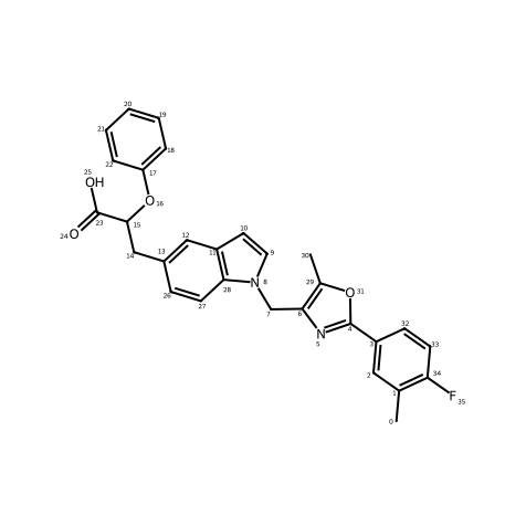 Cc1cc(-c2nc(Cn3ccc4cc(CC(Oc5ccccc5)C(=O)O)ccc43)c(C)o2)ccc1F